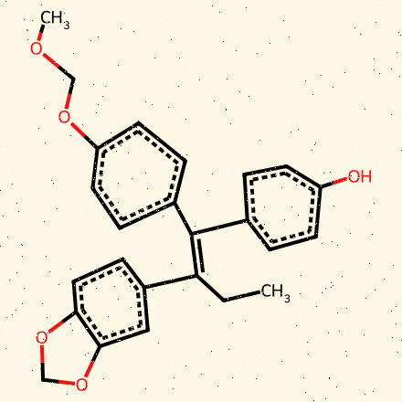 CCC(=C(c1ccc(O)cc1)c1ccc(OCOC)cc1)c1ccc2c(c1)OCO2